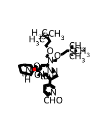 CC(C)(C)OC(=O)N1C2CC[C@@H]1CC(c1cc(N(COCC[Si](C)(C)C)COCC[Si](C)(C)C)n3ncc(-c4ccc(C=O)nc4)c3n1)C2